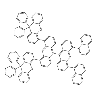 c1ccc(C2(c3ccccc3)c3ccccc3Oc3c(-c4cccc5c(-c6c7cccc(-c8cccc9ccccc89)c7cc7c(-c8cccc9ccccc89)cccc67)c6cccc(-c7cccc8c7Oc7ccccc7C8(c7ccccc7)c7ccccc7)c6cc45)cccc32)cc1